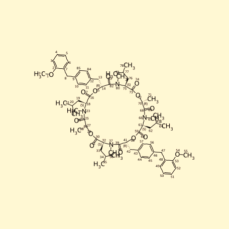 COc1ccccc1Cc1ccc(C[C@H]2OC(=O)[C@H](CC(C)C)N(C)C(=O)[C@@H](C)OC(=O)[C@H](CC(C)C)N(C)C(=O)[C@@H](Cc3ccc(Cc4ccccc4OC)cc3)OC(=O)[C@H](CC(C)C)N(C)C(=O)[C@@H](C)OC(=O)[C@H](CC(C)C)N(C)C2=O)cc1